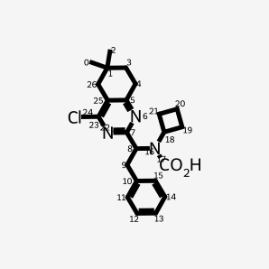 CC1(C)CCc2nc(C(Cc3ccccc3)N(C(=O)O)C3CCC3)nc(Cl)c2C1